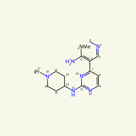 C/N=C\C(=C(\N)NC)c1ccnc(NC2CCN(C(C)C)CC2)n1